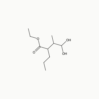 CCCC(C(=O)OCC)C(C)C(O)O